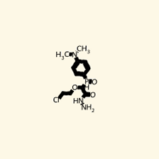 CN(C)c1ccc([PH](=O)C(OCCCl)C(=O)NN)cc1